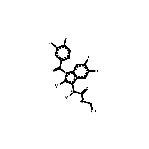 Cc1c([C@H](C)C(=O)NCO)c2cc(O)c(F)cc2n1C(=O)c1ccc(Cl)c(Cl)c1